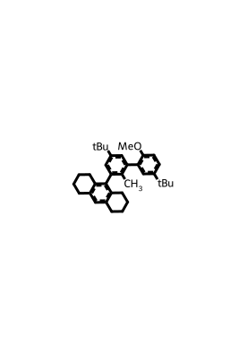 COc1ccc(C(C)(C)C)cc1-c1cc(C(C)(C)C)cc(-c2c3c(cc4c2CCCC4)CCCC3)c1C